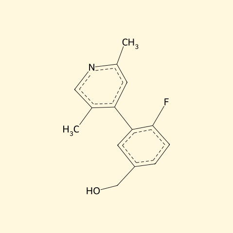 Cc1cc(-c2cc(CO)ccc2F)c(C)cn1